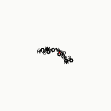 Cn1nc(N2CCC(=O)NC2=O)c2cccc(N3CCC(CN4CC5(C4)CN(C(=O)C4(c6ccccc6)CCN(c6cnnc(-c7ccccc7O)c6)CC4)C5)CC3)c21